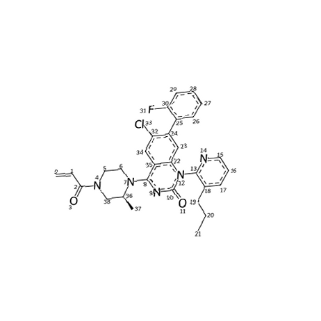 C=CC(=O)N1CCN(c2nc(=O)n(-c3ncccc3CCC)c3cc(-c4ccccc4F)c(Cl)cc23)[C@@H](C)C1